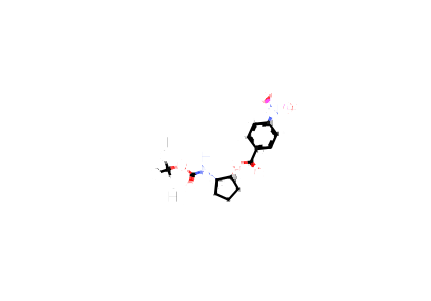 CC(C)(C)OC(=O)N[C@@H]1CCC[C@H]1OC(=O)c1ccc([N+](=O)[O-])cc1